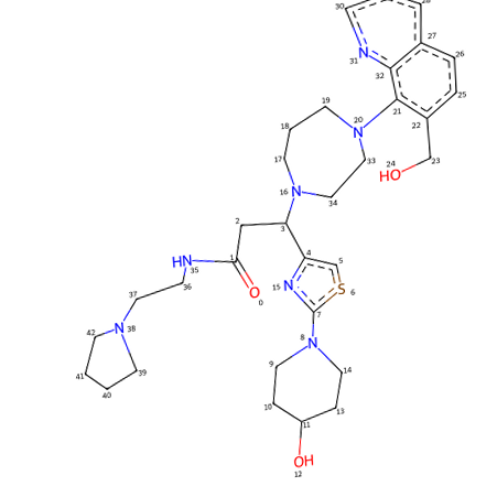 O=C(CC(c1csc(N2CCC(O)CC2)n1)N1CCCN(c2c(CO)ccc3cccnc23)CC1)NCCN1CCCC1